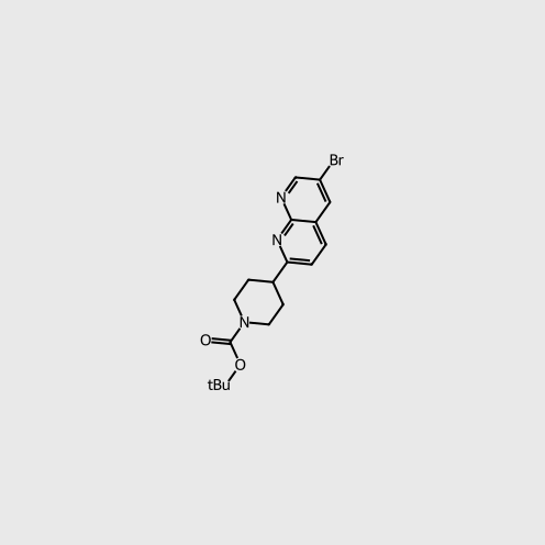 CC(C)(C)OC(=O)N1CCC(c2ccc3cc(Br)cnc3n2)CC1